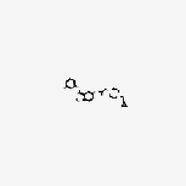 CCc1cccc(Nc2ncnc3ccc(NC(=O)CN4CCN(CC5CC5)CC4)cc23)c1